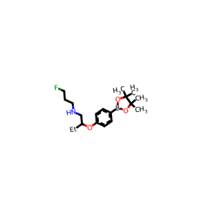 CCC(CNCCCF)Oc1ccc(B2OC(C)(C)C(C)(C)O2)cc1